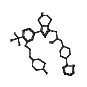 OC(CN1CCC(c2ccccn2)CC1)Cn1nc(-c2ccc(C(F)(F)F)c(SCCN3CCC(F)CC3)c2)c2c1CCNC2